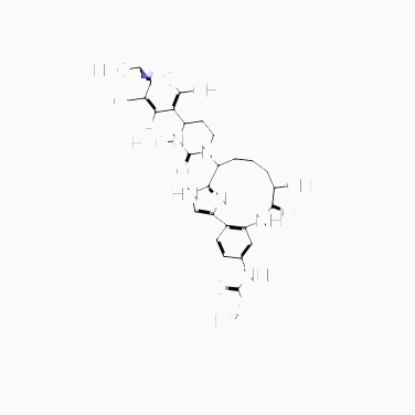 C/C=C\C(Cl)=C(\F)C(=C(C)C)C1CCN(C2CCCC(C)C(=O)Nc3cc(NC(=O)OC)ccc3-c3c[nH]c2n3)C(=O)N1C